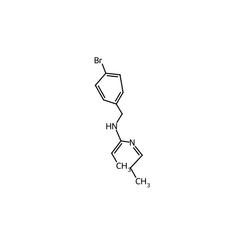 C/C=C(\N=C/CC)NCc1ccc(Br)cc1